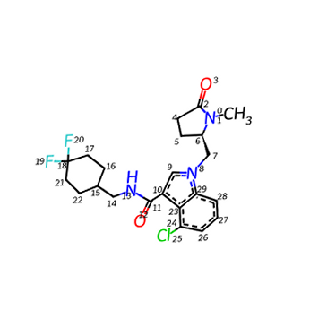 CN1C(=O)CC[C@@H]1Cn1cc(C(=O)NCC2CCC(F)(F)CC2)c2c(Cl)cccc21